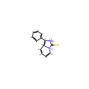 S=c1[nH]c(-c2ccccc2)c2ccccn12